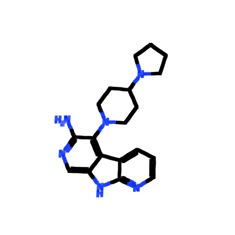 Nc1ncc2[nH]c3ncccc3c2c1N1CCC(N2CCCC2)CC1